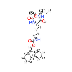 CC(C)(C)OC(=O)NC(CCCCNC(=O)OCC1c2ccccc2-c2ccccc21)C(=O)NCC(=O)O